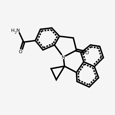 NC(=O)c1ccc2c(c1)N(C1(c3cccc4ccccc34)CC1)C(=O)C2